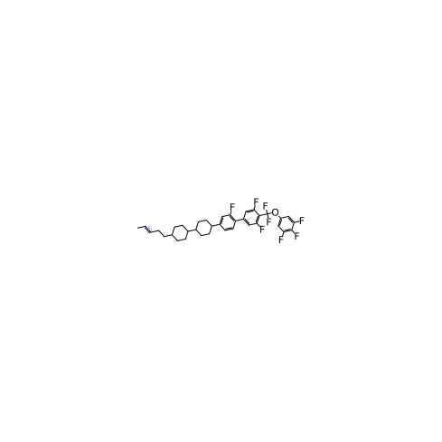 C/C=C/CCC1CCC(C2CCC(c3ccc(-c4cc(F)c(C(F)(F)Oc5cc(F)c(F)c(F)c5)c(F)c4)c(F)c3)CC2)CC1